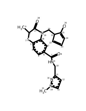 CC1Sc2ccc(C(=O)NCc3ccn(C)n3)cc2N(CC2C=CC=C2Cl)C1=O